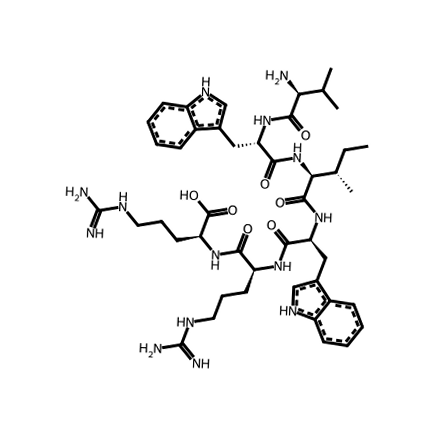 CC[C@H](C)[C@H](NC(=O)[C@H](Cc1c[nH]c2ccccc12)NC(=O)[C@@H](N)C(C)C)C(=O)N[C@@H](Cc1c[nH]c2ccccc12)C(=O)N[C@@H](CCCNC(=N)N)C(=O)N[C@@H](CCCNC(=N)N)C(=O)O